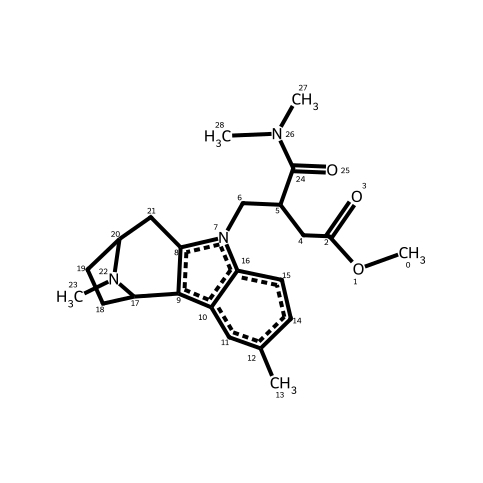 COC(=O)CC(Cn1c2c(c3cc(C)ccc31)C1CCC(C2)N1C)C(=O)N(C)C